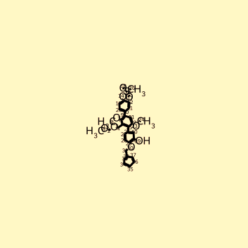 COCOCc1c(OC)c(-c2ccc(OS(C)(=O)=O)cc2)cc(OC)c1-c1ccc(OCc2ccccc2)c(O)c1